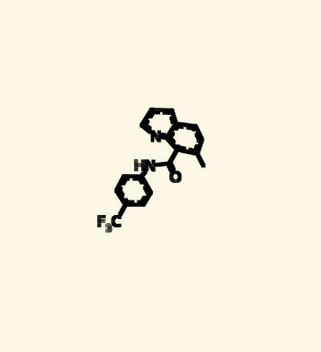 Cc1ccc2cccnc2c1C(=O)Nc1ccc(C(F)(F)F)cc1